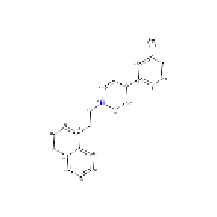 FC(F)(F)c1cccc(C2C=CN(CCc3cccc4ccccc34)CC2)c1